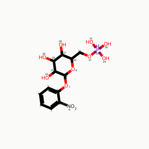 O=[N+]([O-])c1ccccc1OC1OC(CO[PH](O)(O)O)C(O)C(O)C1O